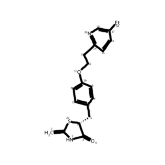 C=C1NC(=O)[C@@H](Cc2ccc(OCCc3ccc(CC)cn3)cc2)S1